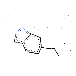 [CH2]Cc1ccc2cn[nH]c2c1